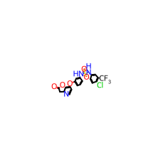 O=C1Cc2nccc(Oc3cccc(NS(=O)(=O)Nc4ccc(Cl)c(C(F)(F)F)c4)c3)c2O1